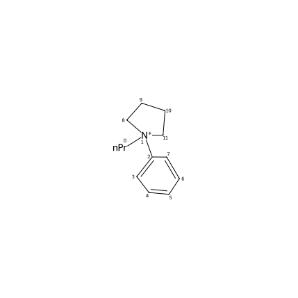 CCC[N+]1(c2ccccc2)CCCC1